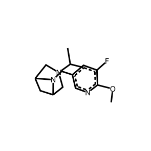 COc1ncc(CN2C3CC2CN(C(C)C)C3)cc1F